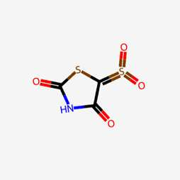 O=C1NC(=O)C(=S(=O)=O)S1